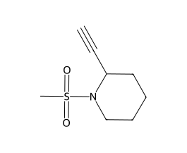 C#CC1CCCCN1S(C)(=O)=O